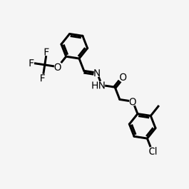 Cc1cc(Cl)ccc1OCC(=O)N/N=C/c1ccccc1OC(F)(F)F